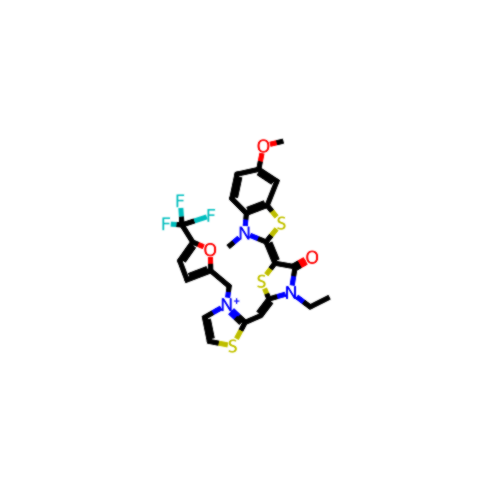 CCn1c(=O)/c(=C2\Sc3cc(OC)ccc3N2C)s/c1=C\c1scc[n+]1Cc1ccc(C(F)(F)F)o1